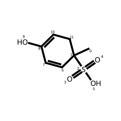 CC1(S(=O)(=O)O)C=CC(O)=CC1